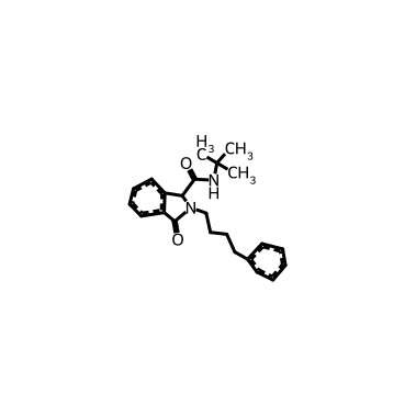 CC(C)(C)NC(=O)C1c2ccccc2C(=O)N1CCCCc1ccccc1